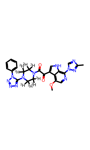 [2H]C1([2H])N(C(=O)C(=O)c2c[nH]c3c(-n4cnc(C)n4)ncc(OC)c23)C([2H])([2H])C([2H])([2H])N(c2nnnn2-c2ccccc2)C1([2H])[2H]